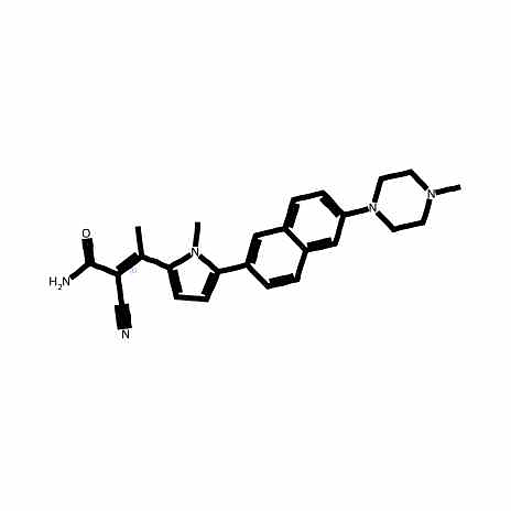 C/C(=C(/C#N)C(N)=O)c1ccc(-c2ccc3cc(N4CCN(C)CC4)ccc3c2)n1C